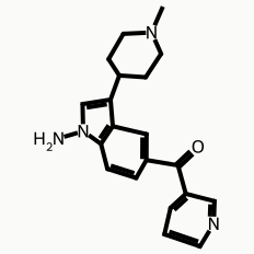 CN1CCC(c2cn(N)c3ccc(C(=O)c4cccnc4)cc23)CC1